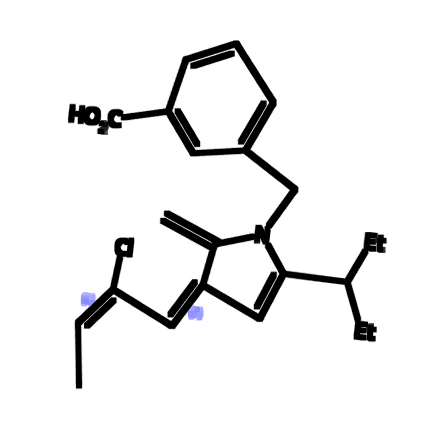 C=c1/c(=C\C(Cl)=C/C)cc(C(CC)CC)n1Cc1cccc(C(=O)O)c1